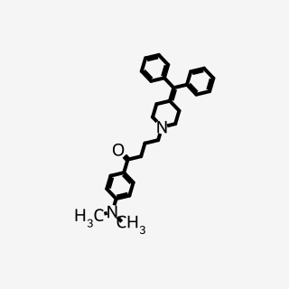 CN(C)c1ccc(C(=O)CCCN2CCC(=C(c3ccccc3)c3ccccc3)CC2)cc1